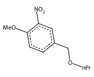 CCCOCc1ccc(OC)c([N+](=O)[O-])c1